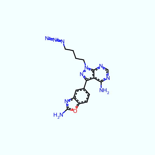 [N-]=[N+]=NCCCCn1nc(-c2ccc3oc(N)nc3c2)c2c(N)ncnc21